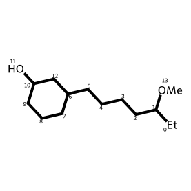 CCC(CCCCC1CCCC(O)C1)OC